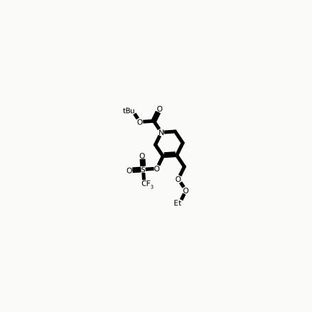 CCOOCC1=C(OS(=O)(=O)C(F)(F)F)CN(C(=O)OC(C)(C)C)CC1